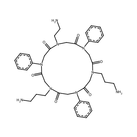 NCCCN1CC(=O)N(c2ccccc2)CC(=O)N(CCN)CC(=O)N(c2ccccc2)CC(=O)N(CCCN)CC(=O)N(c2ccccc2)CC1=O